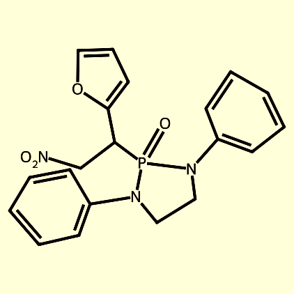 O=[N+]([O-])CC(c1ccco1)P1(=O)N(c2ccccc2)CCN1c1ccccc1